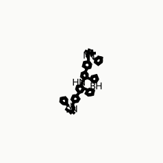 CC1(C)N=C(c2ccc(-c3ccc4c(c3)-c3ccccc3Bc3ccccc3-c3cc(-c5ccc(C6=NC(C)(C)C(C)(C)N6c6ccccc6)cc5)ccc3N4)cc2)N(c2ccccc2)C1(C)C